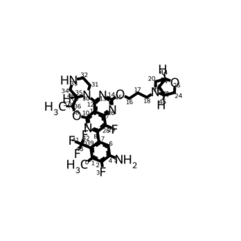 Cc1c(F)c(N)cc(-c2nc3c4c(nc(OCCCN5C[C@H]6C[C@@H]5CO6)nc4c2F)N2CCNC[C@H]2[C@H](C)O3)c1C(F)(F)F